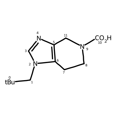 CC(C)(C)Cn1cnc2c1CCN(C(=O)O)C2